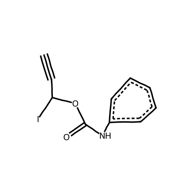 C#CC(I)OC(=O)Nc1ccccc1